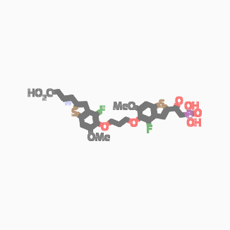 COc1cc2sc(/C=C/CC(=O)O)cc2c(F)c1OCCCOc1c(OC)cc2sc(C(=O)CP(=O)(O)O)cc2c1F